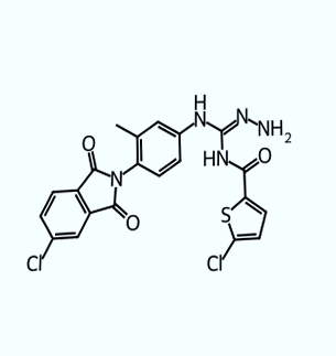 Cc1cc(N/C(=N/N)NC(=O)c2ccc(Cl)s2)ccc1N1C(=O)c2ccc(Cl)cc2C1=O